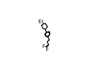 CCC1CCC(c2ccc(CCC=C(F)F)cc2)CC1